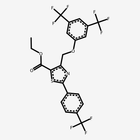 CCOC(=O)c1sc(-c2ccc(C(F)(F)F)cc2)nc1COc1cc(C(F)(F)F)cc(C(F)(F)F)c1